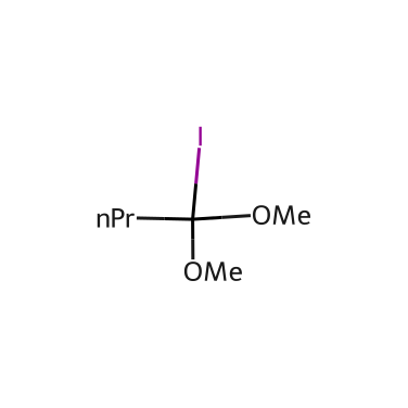 CCCC(I)(OC)OC